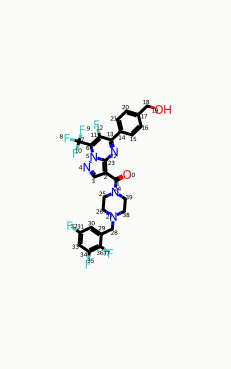 O=C(c1cnn2c(C(F)(F)F)c(F)c(-c3ccc(CO)cc3)nc12)N1CCN(Cc2cc(F)cc(F)c2F)CC1